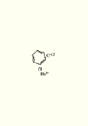 [Cl-].[Cl-].[Cl-].[Rh+3].c1ccccc1